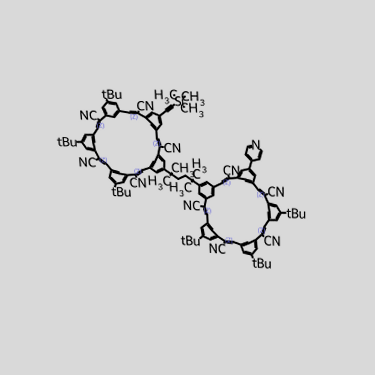 CC(C)(C)c1cc2cc(c1)/C(C#N)=C/c1cc(cc(C(C)(C)C)c1)/C(C#N)=C/c1cc(cc(C(C)(C)C)c1)/C(C#N)=C/c1cc(cc(C(C)(C)CCC(C)(C)c3cc4cc(c3)/C(C#N)=C/c3cc(cc(C(C)(C)C)c3)/C(C#N)=C/c3cc(cc(C(C)(C)C)c3)/C(C#N)=C/c3cc(cc(C(C)(C)C)c3)/C(C#N)=C/c3cc(cc(-c5ccncc5)c3)/C(C#N)=C/4)c1)/C(C#N)=C/c1cc(C#C[Si](C)(C)C)cc(c1)/C(C#N)=C/2